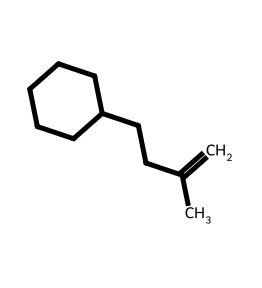 C=C(C)CCC1CCCCC1